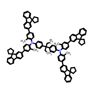 CCC(CC)(c1ccc(N(c2ccc(-c3ccc4c(c3)C3(CCCC3)c3ccccc3-4)cc2C)c2ccc(-c3ccc4c(c3)C3(CCCC3)c3ccccc3-4)cc2C)cc1)c1ccc(N(c2ccc(-c3ccc4c(c3)C3(CCCC3)c3ccccc3-4)cc2C)c2ccc(-c3ccc4c(c3)C3(CCCC3)c3ccccc3-4)cc2C)cc1